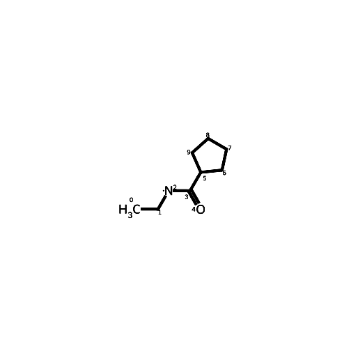 CC[N]C(=O)C1CCCC1